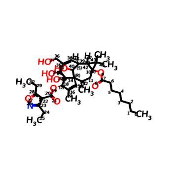 CCCCCCCC(=O)O[C@@]12C[C@@H](C)[C@]34C=C(C)[C@H](OC(=O)c5c(CC)noc5CC)[C@@]3(O)[C@H](O)C(CO)=C[C@H](C4O)[C@@H]1C2(C)C